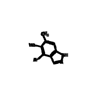 Cc1cc2[nH]ncc2c(Br)c1O